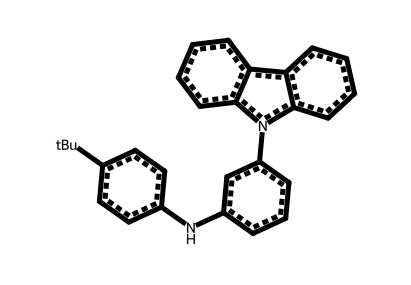 CC(C)(C)c1ccc(Nc2cccc(-n3c4ccccc4c4ccccc43)c2)cc1